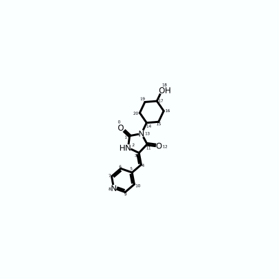 O=C1N/C(=C\c2ccncc2)C(=O)N1C1CCC(O)CC1